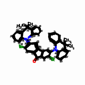 CC1(C)c2ccccc2N(c2cc3c(cc2Br)C(=O)c2cc(Br)c(N4c5ccccc5C(C)(C)c5ccccc54)cc2-3)c2ccccc21